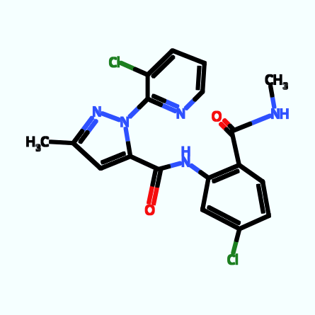 CNC(=O)c1ccc(Cl)cc1NC(=O)c1cc(C)nn1-c1ncccc1Cl